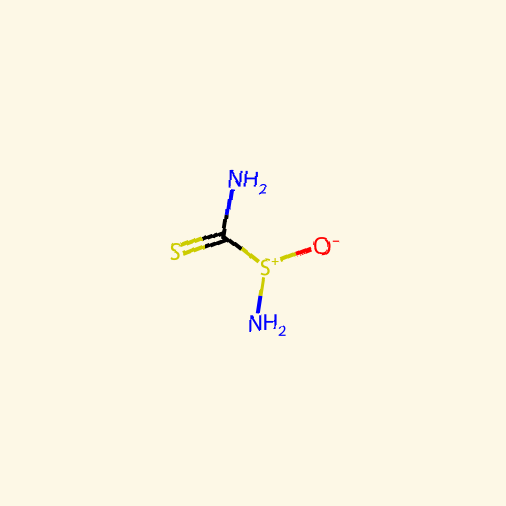 NC(=S)[S+](N)[O-]